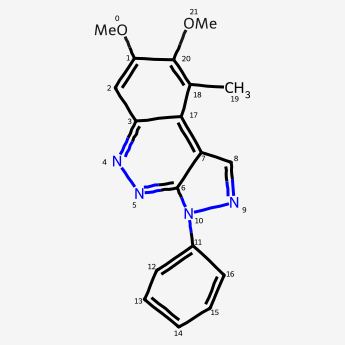 COc1cc2nnc3c(cnn3-c3ccccc3)c2c(C)c1OC